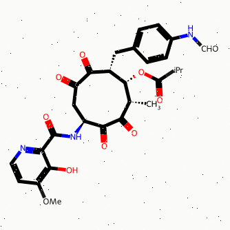 COc1ccnc(C(=O)N[C@H]2CC(=O)C(=O)[C@H](Cc3ccc(NC=O)cc3)[C@H](OC(=O)C(C)C)[C@H](C)C(=O)C2=O)c1O